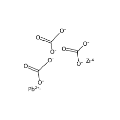 O=C([O-])[O-].O=C([O-])[O-].O=C([O-])[O-].[Pb+2].[Zr+4]